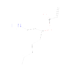 C=CC(=O)OC(CCN)CCCCC